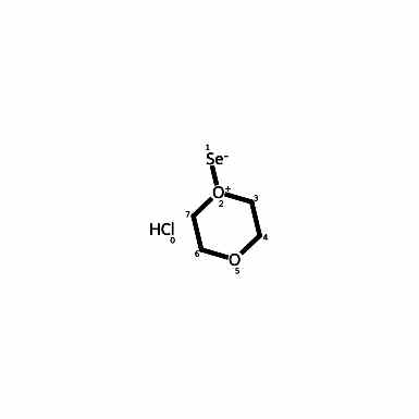 Cl.[Se-][O+]1CCOCC1